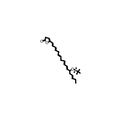 CCC=CCC(C=CC=CCC=CCC=CC=CC1=CCC(=O)O1)O[Si](C)(C)C(C)(C)C